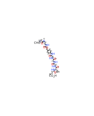 CC(C)CC(NC(=O)CCCC(=O)O)C(=O)NCC(=O)NCC(=O)NCC(=O)Nc1ccc(COC(=O)NCCN(C)C(=O)/C=C\C=O)cc1